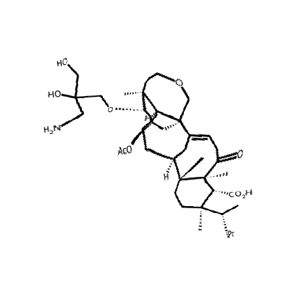 CC(=O)O[C@@H]1C[C@@]23COC[C@@](C)([C@@H]2CC[C@H]2C3=CC(=O)[C@@]3(C)[C@H](C(=O)O)[C@@](C)([C@H](C)C(C)C)CC[C@]23C)[C@H]1OCC(O)(CN)CO